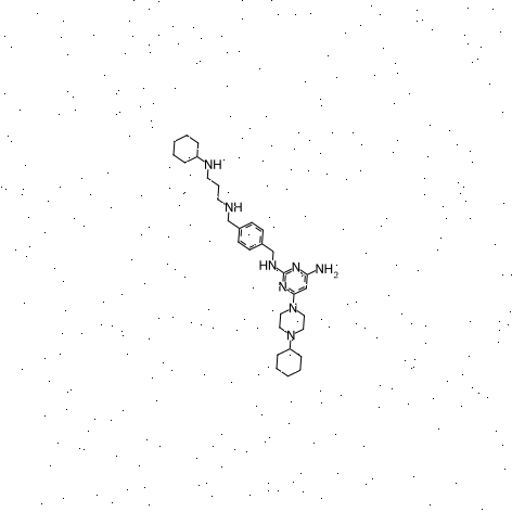 Nc1cc(N2CCN(C3CCCCC3)CC2)nc(NCc2ccc(CNCCCNC3CCCCC3)cc2)n1